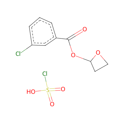 O=C(OC1CCO1)c1cccc(Cl)c1.O=S(=O)(O)Cl